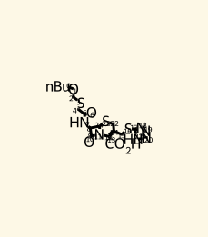 CCCCOCSCC(=O)NC1C(=O)N2C(C(=O)O)=C(CSc3nnn[nH]3)CSC12